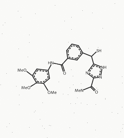 CNC(=O)c1n[nH]c(C(S)c2cccc(C(=O)Nc3cc(OC)c(OC)c(OC)c3)c2)n1